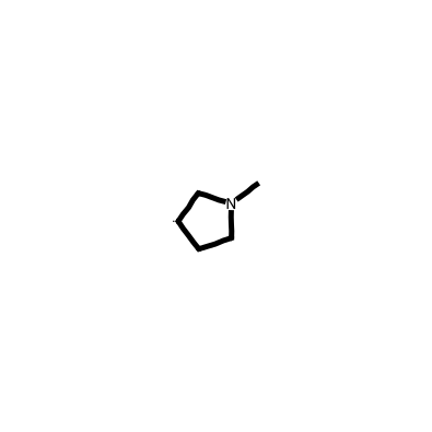 CN1C[CH]CC1